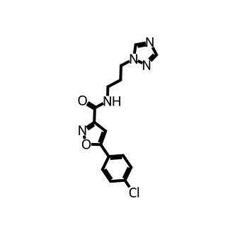 O=C(NCCCn1cncn1)c1cc(-c2ccc(Cl)cc2)on1